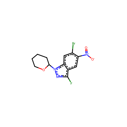 O=[N+]([O-])c1cc2c(F)nn(C3CCCCO3)c2cc1Br